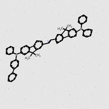 CC1(C)c2cc(/C=C/c3ccc4c(c3)C(C)(C)c3cc(N(c5ccccc5)c5ccc(-c6ccccc6)cc5)ccc3-4)ccc2-c2ccc(N(c3ccccc3)c3ccccc3)cc21